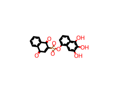 O=C1C=C(S(=O)(=O)Oc2cccc3c(O)c(O)c(O)cc23)C(=O)c2ccccc21